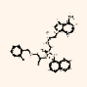 Cc1ccccc1COCC(C)NP(=O)(CO[C@H](C)Cn1cnc2c(N)ncnc21)Oc1cccc2ccccc12